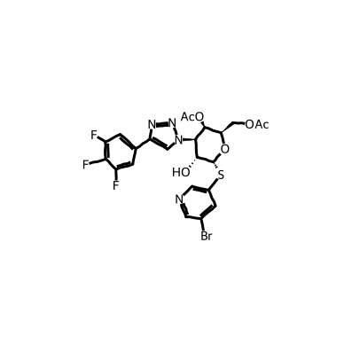 CC(=O)OC[C@H]1O[C@H](Sc2cncc(Br)c2)[C@H](O)[C@@H](n2cc(-c3cc(F)c(F)c(F)c3)nn2)[C@H]1OC(C)=O